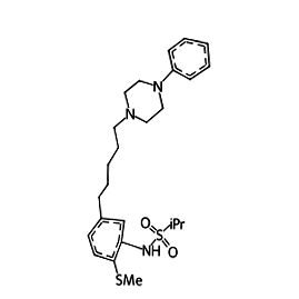 CSc1ccc(CCCCCN2CCN(c3ccccc3)CC2)cc1NS(=O)(=O)C(C)C